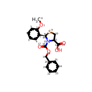 COc1ccccc1[C@H]1SCC(C(=O)O)N1C(=O)OCc1ccccc1